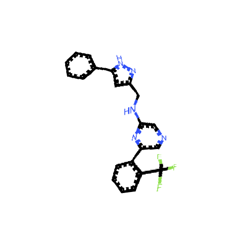 FC(F)(F)c1ccccc1-c1cncc(NCc2cc(-c3ccccc3)[nH]n2)n1